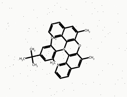 Cc1cc2cccnc2c2c1Oc1c(C)cc3cccnc3c1N2c1c(C)cc(C(C)(C)C)cc1C